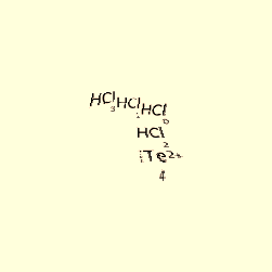 Cl.Cl.Cl.Cl.[Te+2]